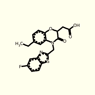 CCc1ccc2c(c1)N(Cc1nc3cc(F)ccc3s1)C(=O)C(CC(=O)O)O2